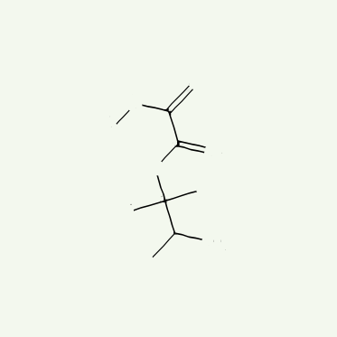 C=C(OC(C)C)C(=O)OC(C)(C)C(C)C(=O)O